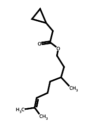 CC(C)=CCCC(C)CCOC(=O)CC1CC1